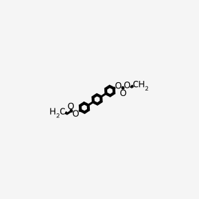 C=COC(=O)Oc1ccc(-c2ccc(-c3ccc(OC(=O)C=C)cc3)cc2)cc1